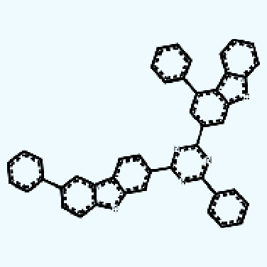 c1ccc(-c2ccc3oc4cc(-c5nc(-c6ccccc6)nc(-c6cc(-c7ccccc7)c7c(c6)oc6ccccc67)n5)ccc4c3c2)cc1